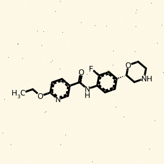 CCOc1ccc(C(=O)Nc2ccc([C@H]3CNCCO3)cc2F)cn1